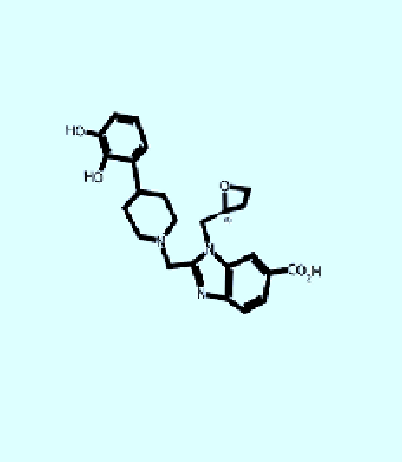 O=C(O)c1ccc2nc(CN3CCC(c4cccc(O)c4O)CC3)n(C[C@@H]3CCO3)c2c1